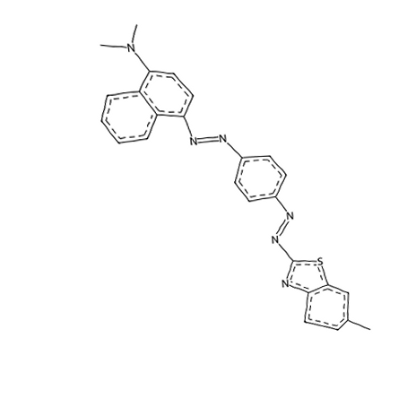 Cc1ccc2nc(N=Nc3ccc(N=Nc4ccc(N(C)C)c5ccccc45)cc3)sc2c1